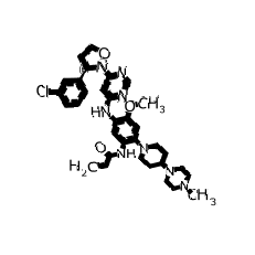 C=CC(=O)Nc1cc(Nc2cc(N3OCC[C@@H]3c3cccc(Cl)c3)ncn2)c(OC)cc1N1CCC(N2CCN(C)CC2)CC1